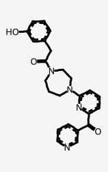 O=C(c1cccnc1)c1cccc(N2CCCN(C(=O)Cc3cccc(O)c3)CC2)n1